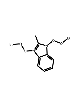 CCOOn1c(C)[n+](OOCC)c2ccccc21